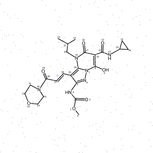 COC(=O)Nc1nn2c(O)c(C(=O)NC3CC3)c(=O)n(CC(C)C)c2c1/C=C/C(=O)N1CCOCC1